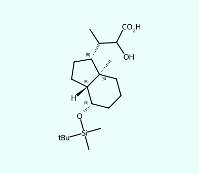 CC(C(O)C(=O)O)[C@H]1CC[C@H]2[C@@H](O[Si](C)(C)C(C)(C)C)CCC[C@]12C